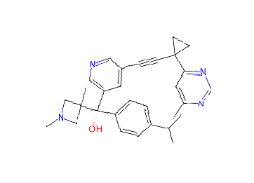 Cc1cc(C2(C#Cc3cncc([C@@](O)(c4ccc(C(C)C)cc4)C4(C)CN(C)C4)c3)CC2)ncn1